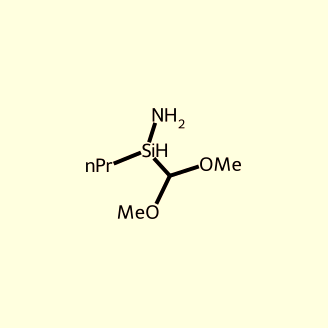 CCC[SiH](N)C(OC)OC